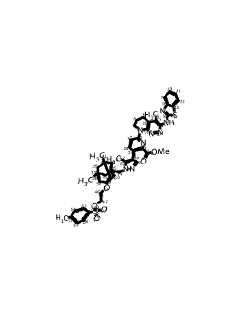 COC(=O)c1nc(N2CCCc3c2nnc(Nc2nc4ccccc4s2)c3C)ccc1-c1cnn(CC23CC4(C)CC(C)(C2)CC(OCCOS(=O)(=O)c2ccc(C)cc2)(C4)C3)c1C